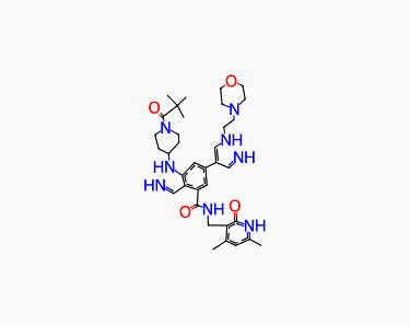 Cc1cc(C)c(CNC(=O)c2cc(/C(C=N)=C/NCCN3CCOCC3)cc(NC3CCN(C(=O)C(C)(C)C)CC3)c2C=N)c(=O)[nH]1